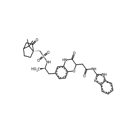 CC1(C)C2CC[C@]1(CS(=O)(=O)N[C@@H](Cc1ccc3c(c1)NC(=O)C(CC(=O)Nc1nc4ccccc4[nH]1)O3)C(=O)O)C(=O)C2